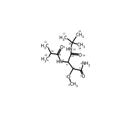 COC(C(N)=O)C(NC(=O)C(C)C)C(=O)NC(C)(C)C